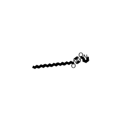 CCC=CCC=CCC=CCC=CCC=CCCCC(=O)N1CCN(C(=O)c2ccccn2)CC1